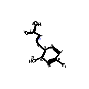 O=C(O)/C=C/c1ccc(F)cc1O